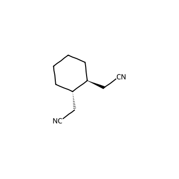 N#CC[C@@H]1CCCC[C@H]1CC#N